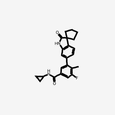 Cc1c(F)cc(C(=O)NC2CC2)cc1-c1ccc2c(c1)NC(=O)C21CCCC1